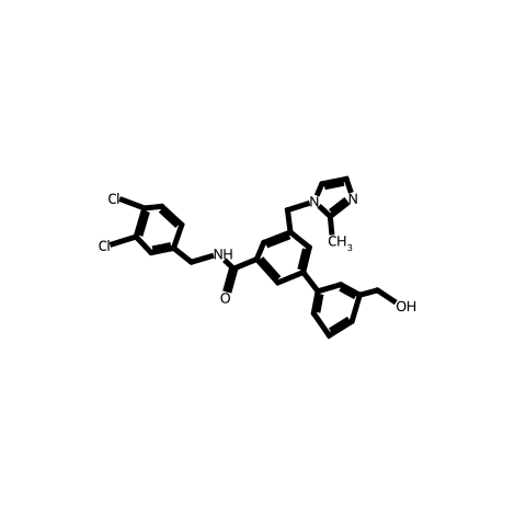 Cc1nccn1Cc1cc(C(=O)NCc2ccc(Cl)c(Cl)c2)cc(-c2cccc(CO)c2)c1